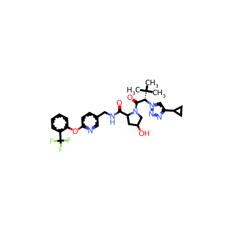 CC(C)(C)[C@@H](C(=O)N1CC(O)CC1C(=O)NCc1ccc(Oc2ccccc2C(F)(F)F)nc1)n1cc(C2CC2)nn1